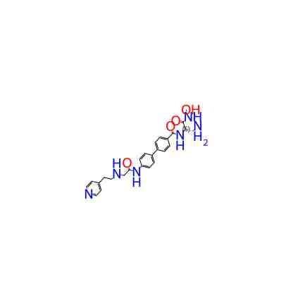 NC[C@H](NC(=O)c1ccc(-c2ccc(NC(=O)CNCCc3ccncc3)cc2)cc1)C(=O)NO